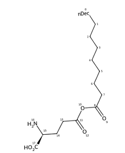 CCCCCCCCCCCCCCCCCC(=O)OC(=O)CC[C@H](N)C(=O)O